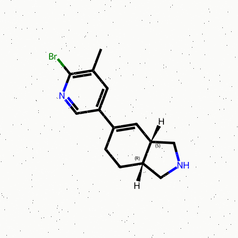 Cc1cc(C2=C[C@@H]3CNC[C@@H]3CC2)cnc1Br